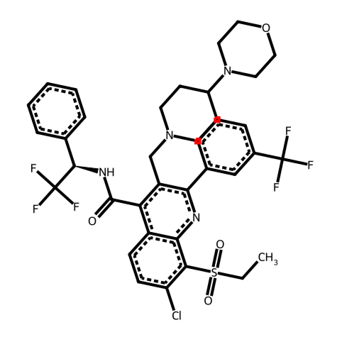 CCS(=O)(=O)c1c(Cl)ccc2c(C(=O)N[C@H](c3ccccc3)C(F)(F)F)c(CN3CCC(N4CCOCC4)CC3)c(-c3cccc(C(F)(F)F)c3)nc12